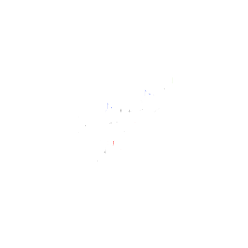 CC(C)c1nc2c(c3c1[C@@H](c1ccc(C(F)(F)F)nc1)OC31CCOCC1)[C@@H](O[Si](C)(C)C(C)(C)C)CC1(CCC1)C2